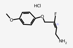 COc1ccc(OC/C(F)=C\CN)cc1.Cl